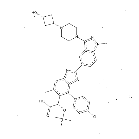 Cc1cc2nc(-c3ccc4c(c3)c(N3CCN([C@H]5C[C@@H](O)C5)CC3)nn4C)sc2c(-c2ccc(Cl)cc2)c1[C@H](OC(C)(C)C)C(=O)O